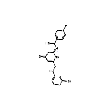 N=C(/N=C1\CC(=O)C=C(CNc2cccc(O)c2)N1)c1ccc(F)cc1